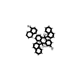 Brc1cccc2c1CCCC2.OC1(c2cccc3ccccc23)c2ccccc2C(O)(c2cccc3ccccc23)c2cc(Br)ccc21